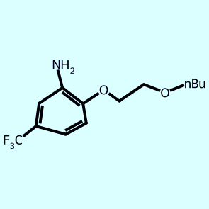 CCCCOCCOc1ccc(C(F)(F)F)cc1N